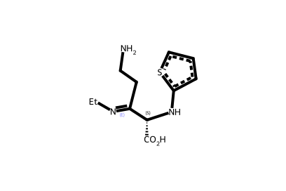 CC/N=C(\CCN)[C@H](Nc1cccs1)C(=O)O